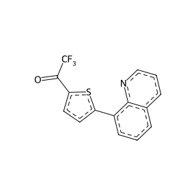 O=C(c1ccc(-c2cccc3cccnc23)s1)C(F)(F)F